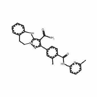 Cc1cccc(NC(=O)c2ccc(-c3nn4c(c3C(N)=O)Nc3ccccc3CC4)cc2C)n1